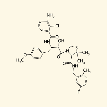 COc1ccc(C[C@H](NC(=O)c2cccc(N)c2Cl)[C@H](O)C(=O)N2CSC(C)(C)C2C(=O)NCc2cc(F)ccc2C)cc1